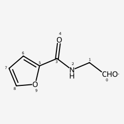 O=[C]CNC(=O)c1ccco1